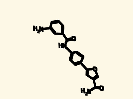 NC(=O)c1coc(-c2ccc(NC(=O)c3cccc(N)c3)cc2)c1